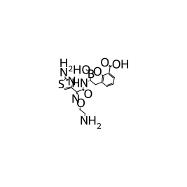 NCCO/N=C(\C(=O)N[C@H]1Cc2cccc(C(=O)O)c2OB1O)c1csc(N)n1